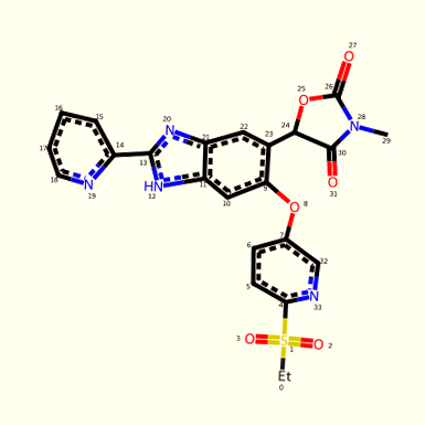 CCS(=O)(=O)c1ccc(Oc2cc3[nH]c(-c4ccccn4)nc3cc2C2OC(=O)N(C)C2=O)cn1